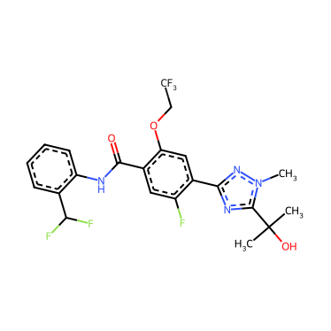 Cn1nc(-c2cc(OCC(F)(F)F)c(C(=O)Nc3ccccc3C(F)F)cc2F)nc1C(C)(C)O